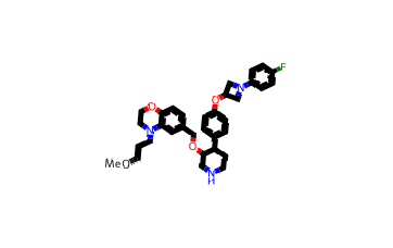 COCCCN1CCOc2ccc(COC3CNCCC3c3ccc(OC4CN(c5ccc(F)cc5)C4)cc3)cc21